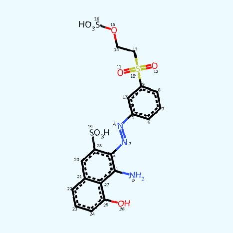 Nc1c(N=Nc2cccc(S(=O)(=O)CCOS(=O)(=O)O)c2)c(S(=O)(=O)O)cc2cccc(O)c12